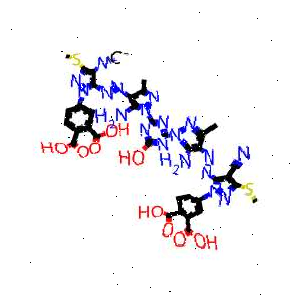 [C-]#[N+]c1c(SC)nn(-c2ccc(C(=O)O)c(C(=O)O)c2)c1N=Nc1c(C)nn(-c2nc(O)nc(-n3nc(C)c(N=Nc4c(C#N)c(SC)nn4-c4ccc(C(=O)O)c(C(=O)O)c4)c3N)n2)c1N